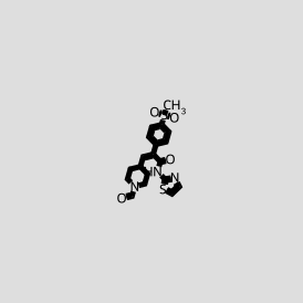 CS(=O)(=O)c1ccc(C(=CC2CCN(C=O)CC2)C(=O)Nc2nccs2)cc1